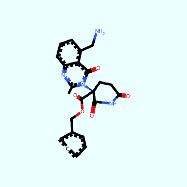 Cc1nc2cccc(CN)c2c(=O)n1[C@@]1(C(=O)OCc2ccccc2)CCC(=O)NC1=O